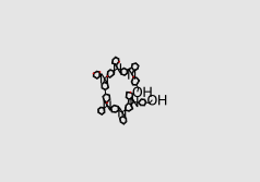 OCc1ccc(-n2c3ccccc3c3cc(N(c4ccccc4)c4ccc(N(c5ccccc5)c5ccc(-c6ccc(N(c7ccccc7)c7ccc(N(c8ccccc8)c8ccc9c(c8)c8ccccc8n9-c8ccc(CO)cc8)cc7)cc6)cc5)cc4)ccc32)cc1